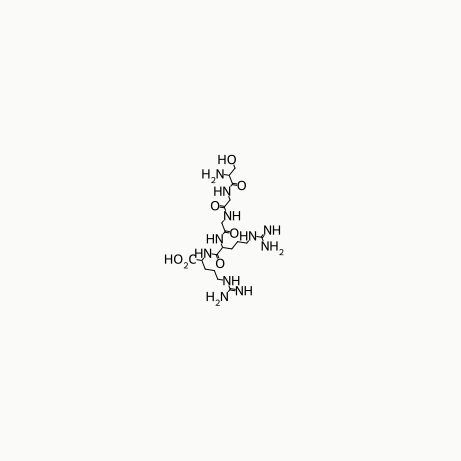 N=C(N)NCCCC(NC(=O)C(CCCNC(=N)N)NC(=O)CNC(=O)CNC(=O)C(N)CO)C(=O)O